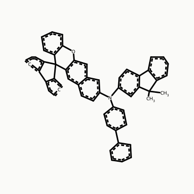 CC1(C)c2ccccc2-c2ccc(N(c3ccc(-c4ccccc4)cc3)c3ccc4cc5c(cc4c3)Oc3ccccc3C53c4ccccc4-c4ccccc43)cc21